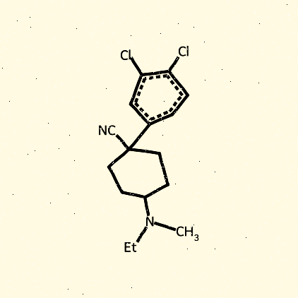 CCN(C)C1CCC(C#N)(c2ccc(Cl)c(Cl)c2)CC1